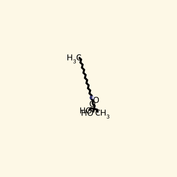 CCCCCCCCCCCCCCC/C=C/C(=O)OCC(CC)(CO)CO